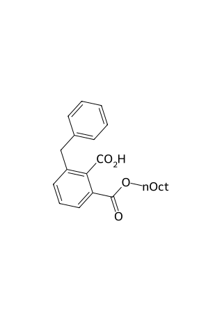 CCCCCCCCOC(=O)c1cccc(Cc2ccccc2)c1C(=O)O